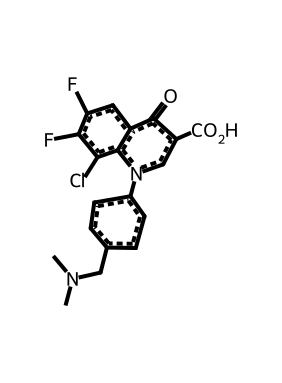 CN(C)Cc1ccc(-n2cc(C(=O)O)c(=O)c3cc(F)c(F)c(Cl)c32)cc1